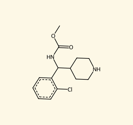 COC(=O)NC(c1ccccc1Cl)C1CCNCC1